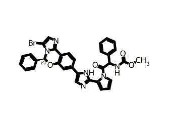 COC(=O)NC(C(=O)n1cccc1-c1ncc(-c2ccc3c(c2)O[C@@H](c2ccccc2)n2c(Br)cnc2-3)[nH]1)c1ccccc1